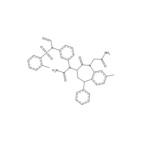 Cc1ccc2c(c1)N(CC(N)=O)C(=O)C(N(C(N)=O)c1cccc(N(C=O)S(=O)(=O)c3ccccc3C)c1)CC2c1ccccc1